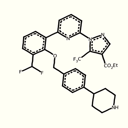 CCOC(=O)c1cnn(-c2cccc(-c3cccc(C(F)F)c3OCc3ccc(C4CCNCC4)cc3)n2)c1C(F)(F)F